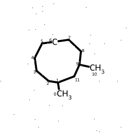 CC1CCCCCCCC(C)C1